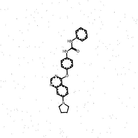 O=C(Nc1ccccc1)Nc1ccc(Oc2ncnc3cc(N4CCCC4)ccc23)cc1